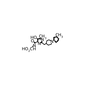 Cc1cccc(N2CCC(Cc3nc(C)c(O)c(C(=O)NCC(=O)O)n3)CC2)c1